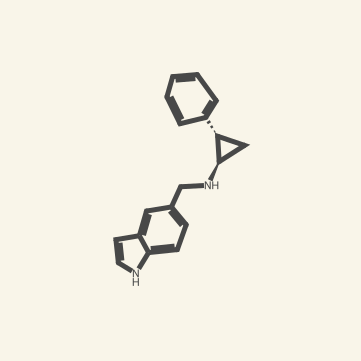 c1ccc([C@@H]2C[C@H]2NCc2ccc3[nH]ccc3c2)cc1